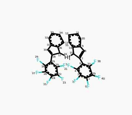 Fc1c(F)c(F)c(C2=Cc3ccccc3[CH]2[Hf][CH]2C(c3c(F)c(F)c(F)c(F)c3F)=Cc3ccccc32)c(F)c1F